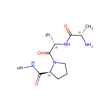 CCCNC(=O)[C@@H]1CCCN1C(=O)[C@@H](NC(=O)[C@H](C)N)C(C)C